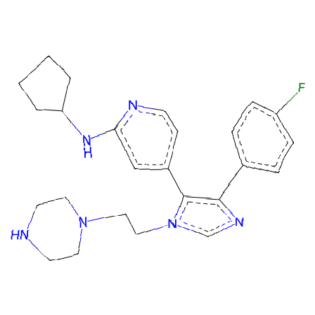 Fc1ccc(-c2ncn(CCN3CCNCC3)c2-c2ccnc(NC3CCCC3)c2)cc1